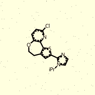 CC(C)n1ccnc1-c1cc2c(s1)-c1nc(Cl)ccc1OCC2